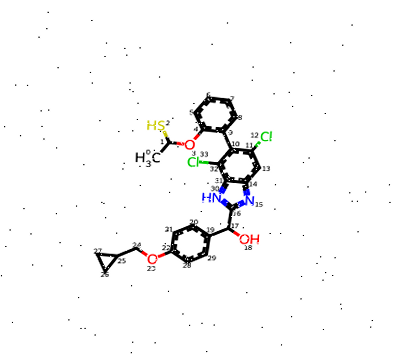 CC(S)Oc1ccccc1-c1c(Cl)cc2nc(C(O)c3ccc(OCC4CC4)cc3)[nH]c2c1Cl